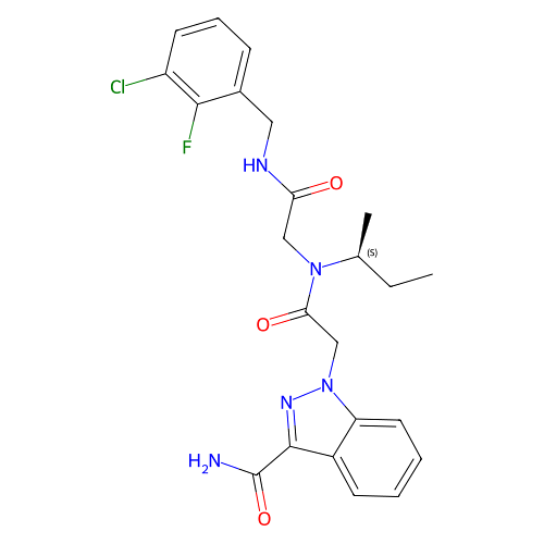 CC[C@H](C)N(CC(=O)NCc1cccc(Cl)c1F)C(=O)Cn1nc(C(N)=O)c2ccccc21